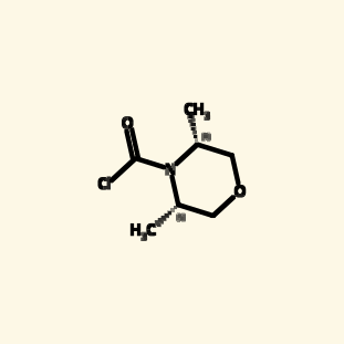 C[C@@H]1COC[C@H](C)N1C(=O)Cl